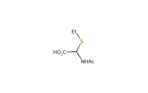 CCSC(NC(C)=O)C(=O)O